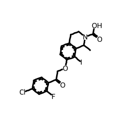 CC1c2c(ccc(OCC(=O)c3ccc(Cl)cc3F)c2I)CCN1C(=O)O